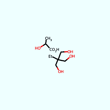 CC(O)C(=O)O.CCC(CO)(CO)CO